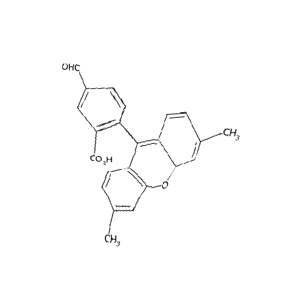 CC1=CC2Oc3cc(C)ccc3C(c3ccc(C=O)cc3C(=O)O)=C2C=C1